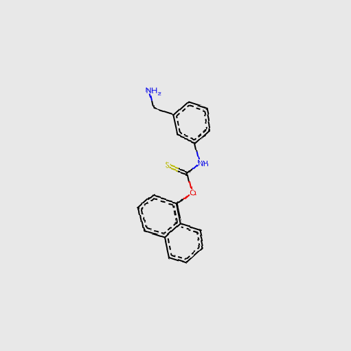 NCc1cccc(NC(=S)Oc2cccc3ccccc23)c1